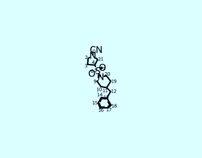 N#CN1CCC(S(=O)(=O)N2CCC(Cc3ccccc3)CC2)C1